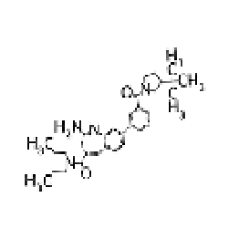 CCCN(CCC)C(=O)C1=Cc2ccc(-c3cccc(C(=O)N4CCC(C(C)(C)C)C4)c3)cc2N=C(N)C1